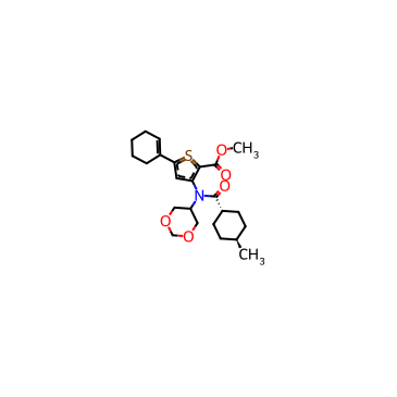 COC(=O)c1sc(C2=CCCCC2)cc1N(C(=O)[C@H]1CC[C@H](C)CC1)C1COCOC1